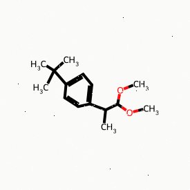 COC(OC)C(C)c1ccc(C(C)(C)C)cc1